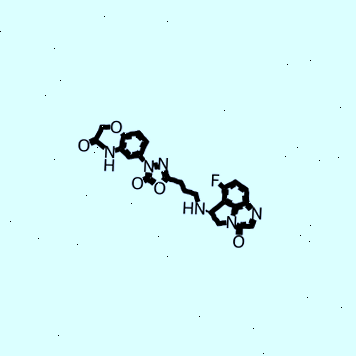 O=C1COc2ccc(-n3nc(CCCN[C@H]4Cn5c(=O)cnc6ccc(F)c4c65)oc3=O)cc2N1